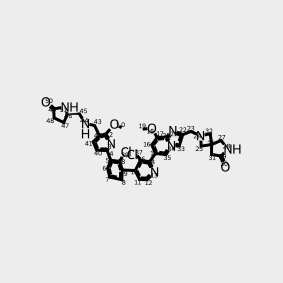 COc1nc(-c2cccc(-c3ccnc(-c4cc(OC)c5nc(CN6CC7(CNC(=O)C7)C6)cn5c4)c3Cl)c2Cl)ccc1CNC[C@H]1CCC(=O)N1